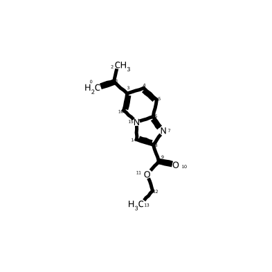 C=C(C)c1ccc2nc(C(=O)OCC)cn2c1